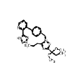 CCCc1nc(C(CC)(OC)OC)nn1Cc1ccc(-c2cccnc2-c2nnn[nH]2)cc1